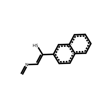 C=N/C=C(\S)c1ccc2ccccc2c1